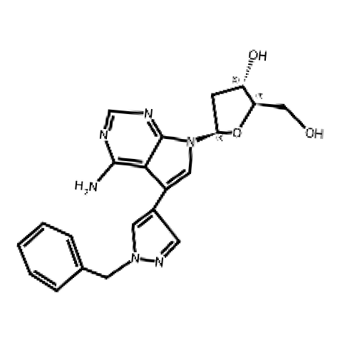 Nc1ncnc2c1c(-c1cnn(Cc3ccccc3)c1)cn2[C@H]1C[C@H](O)[C@@H](CO)O1